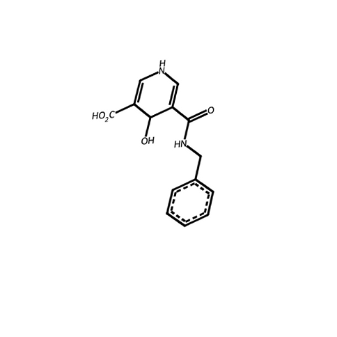 O=C(O)C1=CNC=C(C(=O)NCc2ccccc2)C1O